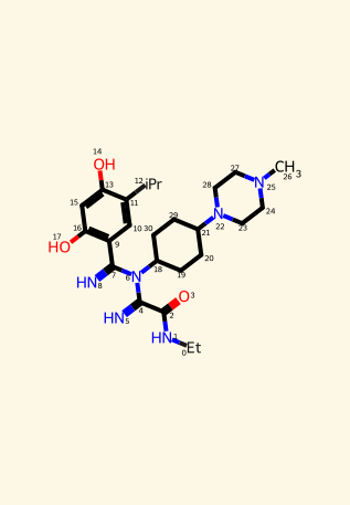 CCNC(=O)C(=N)N(C(=N)c1cc(C(C)C)c(O)cc1O)C1CCC(N2CCN(C)CC2)CC1